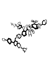 Nc1ncc(Oc2cc(N3CCN(CC4=C(c5ccc(Cl)cc5)CCC5(CCN(C(CF)CF)CC5)C4)CC3)ccc2C(=O)NS(=O)(=O)c2ccc(NCC3CCOCC3)c([N+](=O)[O-])c2)cc1Cl